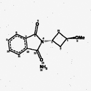 CO[C@H]1C[C@H](N2C(=O)c3ccccc3C2=O)C1.N